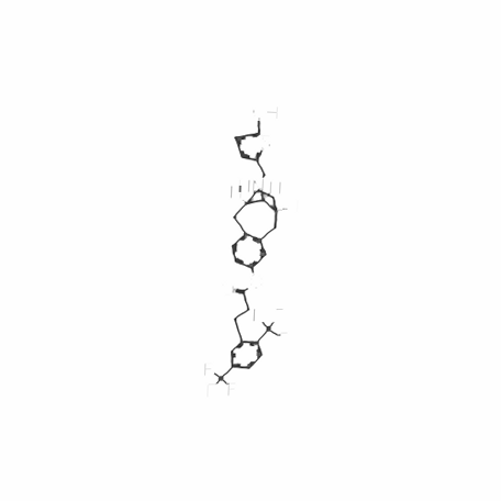 Cc1ccc(CN[C@H]2[C@@H]3CC[C@H]2Cc2ccc(OC(=O)CCc4cc(C(F)(F)F)ccc4C(F)(F)F)cc2C3)s1